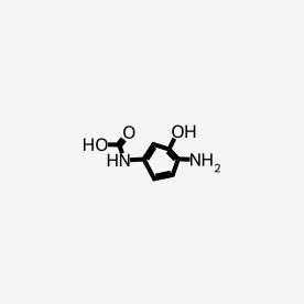 Nc1ccc(NC(=O)O)cc1O